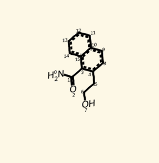 NC(=O)c1c([CH]CO)ccc2ccccc12